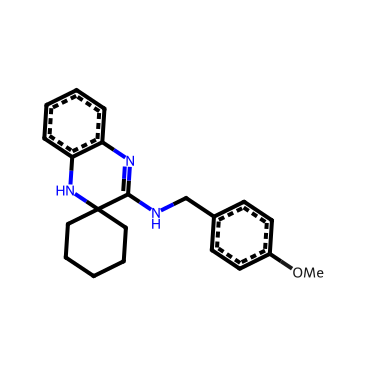 COc1ccc(CNC2=Nc3ccccc3NC23CCCCC3)cc1